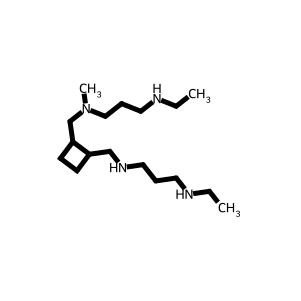 CCNCCCNCC1CCC1CN(C)CCCNCC